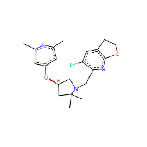 Cc1cc(O[C@H]2CN(Cc3nc4c(cc3F)CCO4)C(C)(C)C2)cc(C)n1